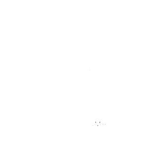 CSCCC(C)(C)C(C)(c1ccccc1)c1ccccc1